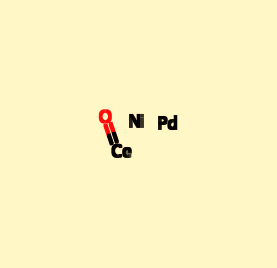 [Ni].[O]=[Ce].[Pd]